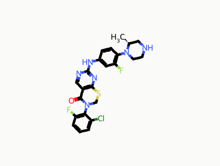 C[C@@H]1CNCCN1c1ccc(Nc2ncc3c(n2)SCN(c2c(F)cccc2Cl)C3=O)cc1F